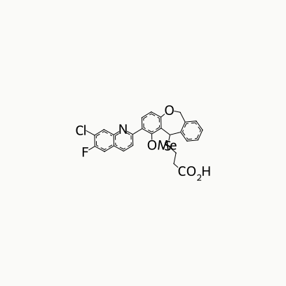 COc1c(-c2ccc3cc(F)c(Cl)cc3n2)ccc2c1C(SCCC(=O)O)c1ccccc1CO2